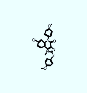 COc1ccc(Sc2nc3c(=O)n(-c4ccc(OC)cc4)c4cc(Cl)ccc4c3n2C)cc1